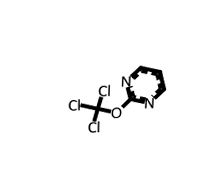 ClC(Cl)(Cl)Oc1ncccn1